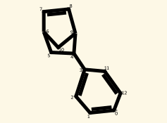 [c]1ccc(C2CC3C=CC2C3)cc1